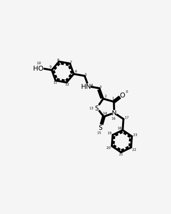 O=C1/C(=C/NCc2ccc(O)cc2)SC(=S)N1Cc1ccccc1